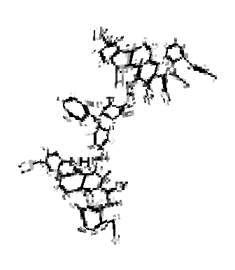 CC#Cc1ccccc1N(C)C(=O)c1cc2ccc3c4cc(Cl)ccc4[nH]c3c2c(N=Nc2ccc(N(c3ccccc3)c3ccc(N=Nc4c(C)c(C(=O)N(C)c5ccccc5CC)cc5ccc6c7cc(Cl)ccc7[nH]c6c45)cc3)cc2)c1OC